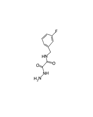 NNC(=O)C(=O)NCc1cccc(F)c1